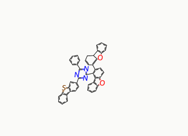 C1=CC(c2ccc3oc4ccccc4c3c2-c2nc(-c3ccccc3)nc(-c3ccc4c(c3)sc3ccccc34)n2)=C2Oc3ccccc3C2C1